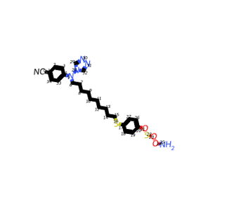 N#Cc1ccc(N(CCCCCCCCCCSc2ccc(OSOON)cc2)n2cnnc2)cc1